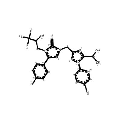 CC(O)c1nc(Cn2nc(-c3ccc(Cl)cc3)n(CC(O)C(F)(F)F)c2=O)nn1-c1ccc(Cl)cn1